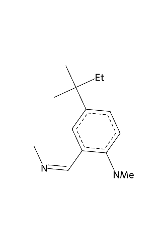 CCC(C)(C)c1ccc(NC)c(/C=N\C)c1